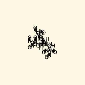 O=C=Nc1cc(N=C=O)c(OCCC(O)Nc2nc(NCC(O)COc3c(N=C=O)cc(N=C=O)cc3N=C=O)nc(NCC(O)COc3c(N=C=O)cc(N=C=O)cc3N=C=O)n2)c(N=C=O)c1